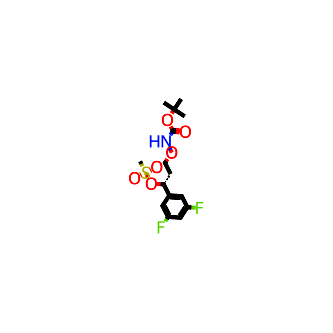 CC(C)(C)OC(=O)NOCC[C@@H](OS(C)(=O)=O)c1cc(F)cc(F)c1